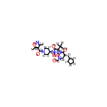 Cc1noc(C)c1C(=O)N1CCC(N(C)C(=O)[C@@H](NC(=O)[C@H](CC2CCCC2)CN(O)C=O)C(C)(C)C)CC1